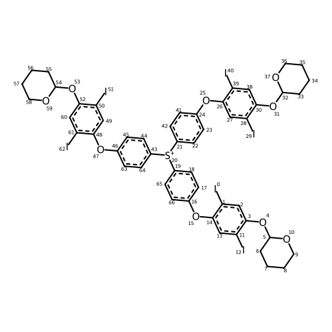 Ic1cc(OC2CCCCO2)c(I)cc1Oc1ccc([S+](c2ccc(Oc3cc(I)c(OC4CCCCO4)cc3I)cc2)c2ccc(Oc3cc(I)c(OC4CCCCO4)cc3I)cc2)cc1